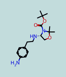 CC(C)(C)OC(=O)N1[C@@H](NCCc2ccc(N)cc2)COC1(C)C